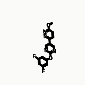 COc1ccc(-c2cnc(Oc3cc(F)cc(F)c3)nc2)nn1